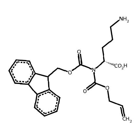 C=CCOC(=O)N(C(=O)OCC1c2ccccc2-c2ccccc21)[C@H](CCCN)C(=O)O